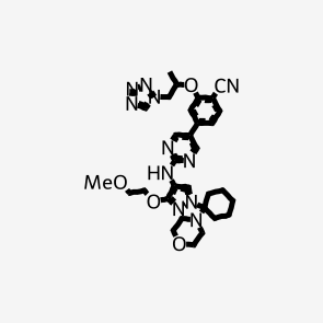 COCCOc1nn(C2(N3CCOCC3)CCCCC2)cc1Nc1ncc(-c2ccc(C#N)c(OC(C)Cn3cnnn3)c2)cn1